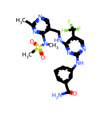 Cc1ncc(CNc2nc(Nc3cccc(C(N)=O)c3)ncc2C(F)(F)F)c(N(C)S(C)(=O)=O)n1